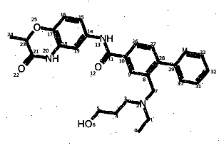 CCN(CCCO)Cc1cc(C(=O)Nc2ccc3c(c2)NC(=O)C(C)O3)ccc1-c1ccccc1